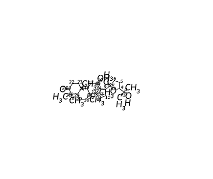 CC(C)(O)C1CC[C@@](C)(C2CC[C@]3(C)C2[C@H](O)CC2[C@@]4(C)CCC(=O)C(C)(C)C4CC[C@]23C)O1